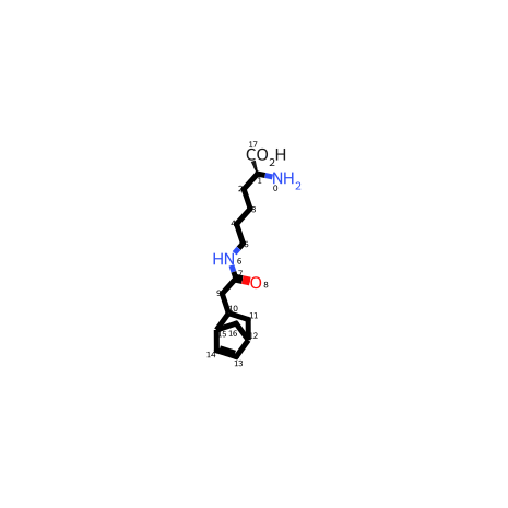 N[C@@H](CCCCNC(=O)CC1CC2C=CC1C2)C(=O)O